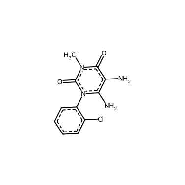 Cn1c(=O)c(N)c(N)n(-c2ccccc2Cl)c1=O